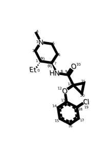 CC[C@@H]1CN(C)CC[C@H]1NC(=O)C1(Oc2ccccc2Cl)CC1